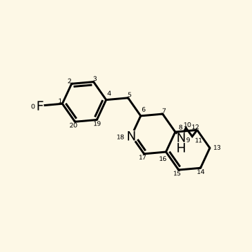 Fc1ccc(CC2CC34NCCC3CCC=C4C=N2)cc1